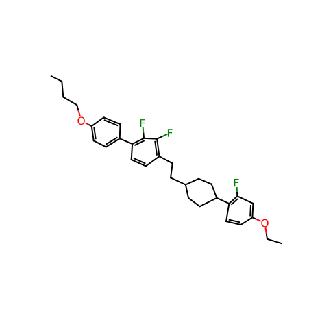 CCCCOc1ccc(-c2ccc(CCC3CCC(c4ccc(OCC)cc4F)CC3)c(F)c2F)cc1